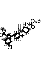 CC(C)(C)OC(=O)N[C@@H]1CCC[C@H](Nc2nc(-c3cn(C(=O)OC(C)(C)C)c4c(F)cc(Cl)cc34)ncc2F)C1